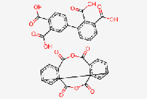 O=C(O)c1ccc(-c2cccc(C(=O)O)c2C(=O)O)cc1C(=O)O.O=C1OC(=O)c2ccc3cc2C(=O)OC(=O)c2cc-3ccc21